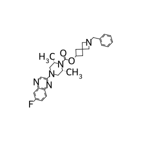 C[C@@H]1CN(c2cnc3cc(F)ccc3n2)C[C@H](C)N1C(=O)OC1CC2(C1)CN(Cc1ccccc1)C2